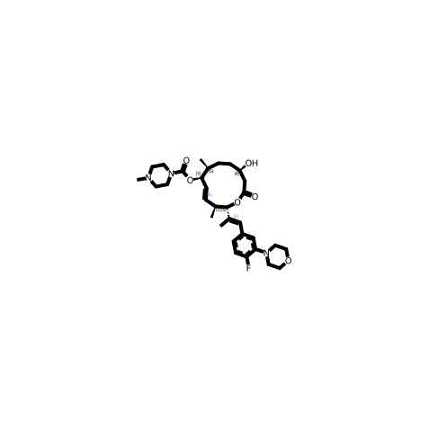 C/C(=C\c1ccc(F)c(N2CCOCC2)c1)[C@H]1OC(=O)C[C@H](O)CC[C@H](C)[C@H](OC(=O)N2CCN(C)CC2)/C=C/[C@@H]1C